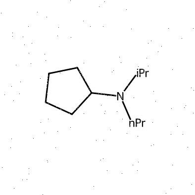 [CH2]CCN(C(C)C)C1CCCC1